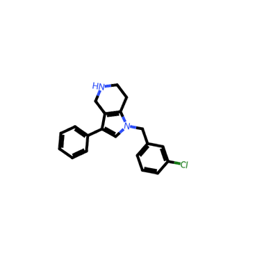 Clc1cccc(Cn2cc(-c3ccccc3)c3c2CCNC3)c1